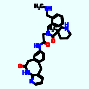 CNCc1ccccc1CN(CC(=O)Nc1ccc2c(c1)CC(=O)Nc1ncccc1C2)C(=O)C1(C)CCCNC1